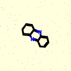 C1=CCc2nc3c(nc2=C1)C=CCC=3